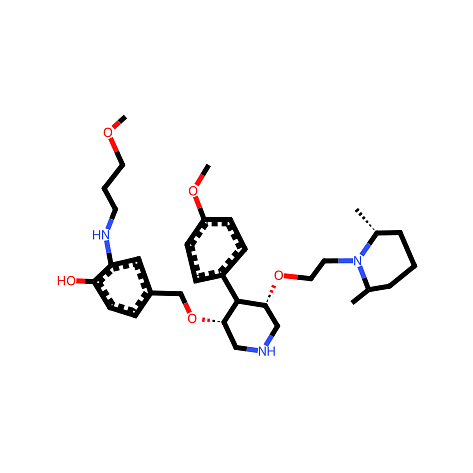 COCCCNc1cc(CO[C@H]2CNC[C@@H](OCCN3C(C)CCC[C@H]3C)C2c2ccc(OC)cc2)ccc1O